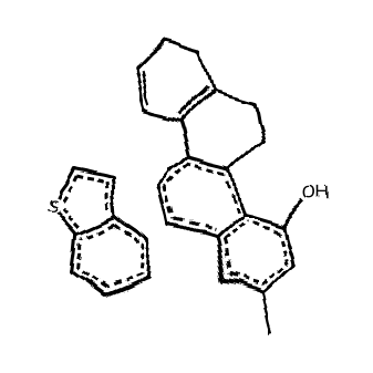 Cc1cc(O)c2c3c(ccc2c1)C1=C(CCC=C1)CC3.c1ccc2sccc2c1